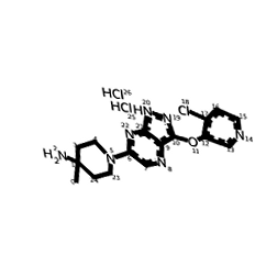 CC1(N)CCN(c2cnc3c(Oc4cnccc4Cl)n[nH]c3n2)CC1.Cl.Cl